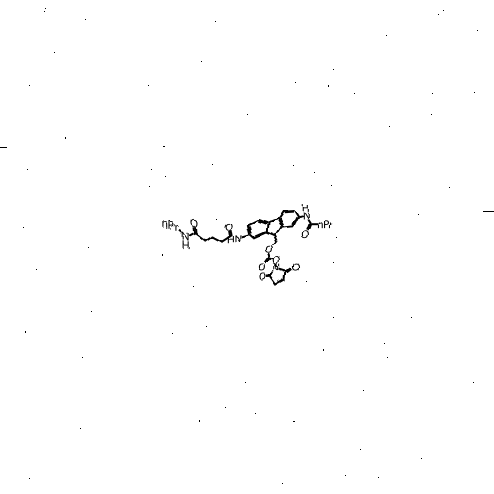 CCCNC(=O)CCCC(=O)Nc1ccc2c(c1)C(COC(=O)ON1C(=O)CCC1=O)c1cc(NC(=O)CCC)ccc1-2